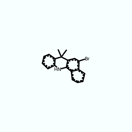 CC1(C)c2ccccc2Nc2c1cc(Br)c1ccccc21